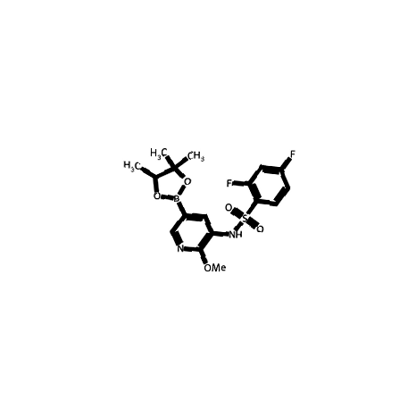 COc1ncc(B2OC(C)C(C)(C)O2)cc1NS(=O)(=O)c1ccc(F)cc1F